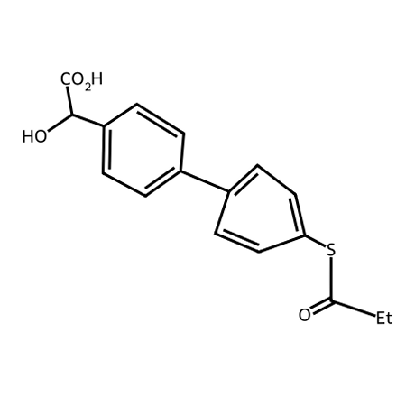 CCC(=O)Sc1ccc(-c2ccc(C(O)C(=O)O)cc2)cc1